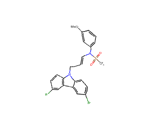 COc1cccc(N(C=CCn2c3ccc(Br)cc3c3cc(Br)ccc32)S(=O)(=O)C(F)(F)F)c1